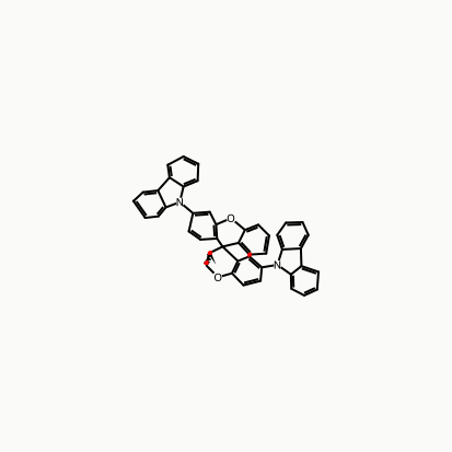 c1ccc2c(c1)Oc1cc(-n3c4ccccc4c4ccccc43)ccc1C21c2ccccc2Oc2ccc(-n3c4ccccc4c4ccccc43)cc21